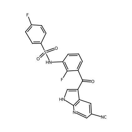 [C-]#[N+]c1cnc2[nH]cc(C(=O)c3cccc(NS(=O)(=O)c4ccc(F)cc4)c3F)c2c1